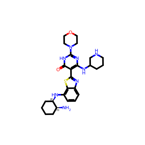 N[C@H]1CCCC[C@H]1Nc1cccc2nc(-c3c(NC4CCCNC4)nc(N4CCOCC4)[nH]c3=O)sc12